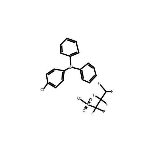 Clc1ccc([S+](c2ccccc2)c2ccccc2)cc1.O=S(=O)([O-])C(F)(F)C(F)(F)C(F)F